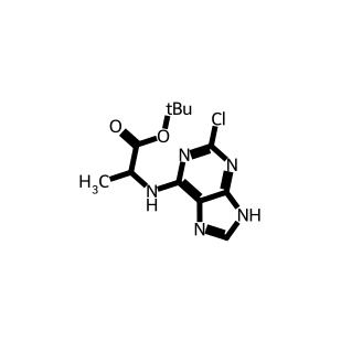 CC(Nc1nc(Cl)nc2[nH]cnc12)C(=O)OC(C)(C)C